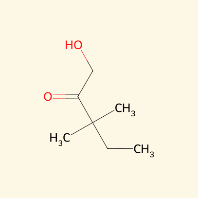 CCC(C)(C)C(=O)CO